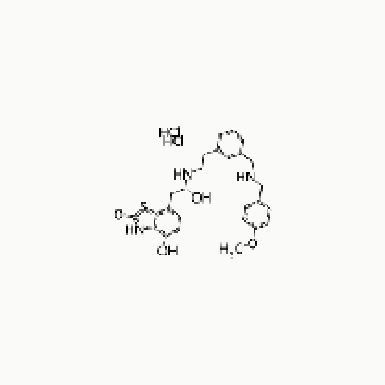 COc1ccc(CNCc2cccc(CCN[C@H](O)Cc3ccc(O)c4[nH]c(=O)sc34)c2)cc1.Cl.Cl